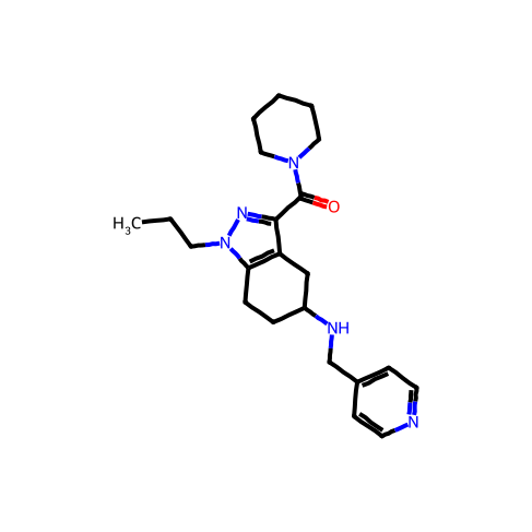 CCCn1nc(C(=O)N2CCCCC2)c2c1CCC(NCc1ccncc1)C2